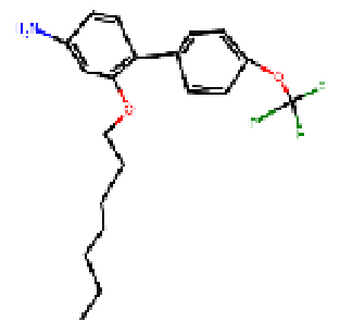 CCCCCCCOc1cc(N)ccc1-c1ccc(OC(F)(F)F)cc1